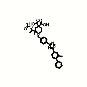 CC(=O)OC(C)C1(C)CC(C(=O)O)(C(=O)O)CCN1Cc1ccc(-c2noc(-c3ccc(-c4ccccc4)c(F)c3)n2)cc1